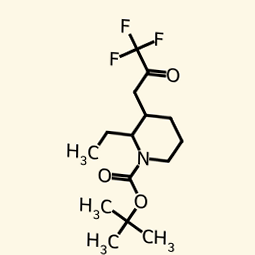 CCC1C(CC(=O)C(F)(F)F)CCCN1C(=O)OC(C)(C)C